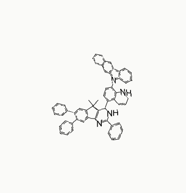 CC1(C)C2=C(N=C(c3ccccc3)NC2c2ccc(-n3c4ccccc4c4cc5ccccc5cc43)c3c2C=CCN3)c2cc(-c3ccccc3)c(-c3ccccc3)cc21